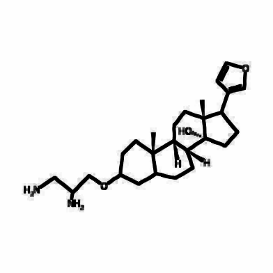 C[C@]12CCC(OCC(N)CN)CC1CC[C@@H]1[C@H]2CC[C@]2(C)C(c3ccoc3)CC[C@@]12O